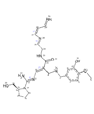 COc1ccc(CNC/C(=C\N=C(/N)N2CCC[C@H]2CO)C(=O)NC/C=N/C=C\C=N)cc1O